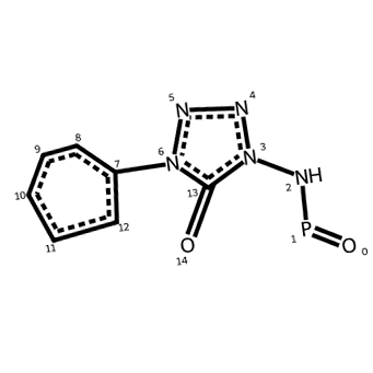 O=PNn1nnn(-c2ccccc2)c1=O